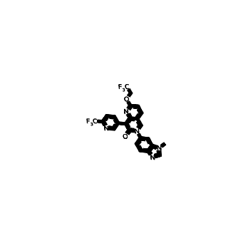 Cn1cnc2ccc(-n3cc4ccc(OCC(F)(F)F)nc4c(-c4ccc(C(F)(F)F)nc4)c3=O)cc21